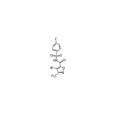 Cc1noc(C(=O)NS(=O)(=O)c2ccc(F)cc2)c1Br